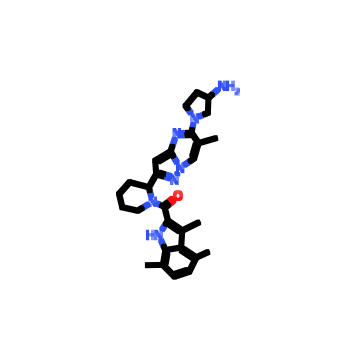 Cc1cn2nc(C3CCCCN3C(=O)c3[nH]c4c(C)ccc(C)c4c3C)cc2nc1N1CCC(N)C1